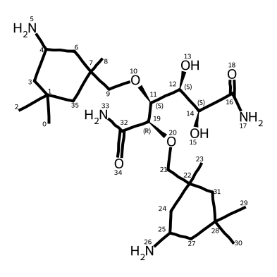 CC1(C)CC(N)CC(C)(CO[C@@H]([C@@H](O)[C@H](O)C(N)=O)[C@@H](OCC2(C)CC(N)CC(C)(C)C2)C(N)=O)C1